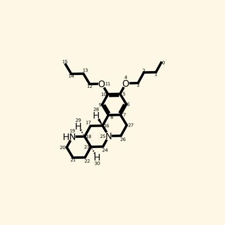 CCCCOc1cc2c(cc1OCCCC)[C@H]1C[C@@H]3NCCC[C@@H]3CN1CC2